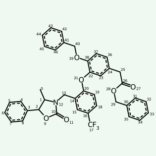 CC1C(c2ccccc2)OC(=O)N1Cc1cc(C(F)(F)F)ccc1Oc1cc(CC(=O)OCc2ccccc2)ccc1OCc1ccccc1